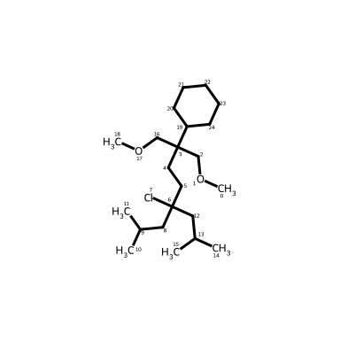 COCC(CCC(Cl)(CC(C)C)CC(C)C)(COC)C1CCCCC1